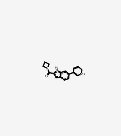 O=C(c1cc2ccc(C3=CNCC=C3)cc2[nH]1)N1CCC1